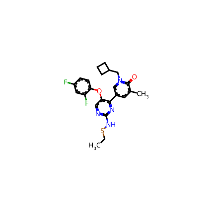 CCSNc1ncc(Oc2ccc(F)cc2F)c(-c2cc(C)c(=O)n(CC3CCC3)c2)n1